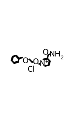 NC(=O)c1ccc[n+](COCCOCc2ccccc2)c1.[Cl-]